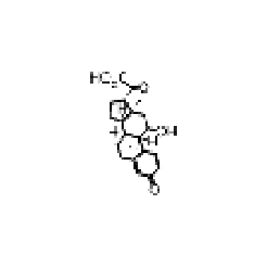 C[C@]12CC(O)[C@H]3[C@@H](CCC4=CC(=O)C=C[C@@]43C)[C@@H]1CC[C@@H]2C(=O)C(=O)O